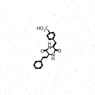 O=C1NC(C=Cc2ccccc2)C(=O)NC1=Cc1ccc(C(=O)O)cc1